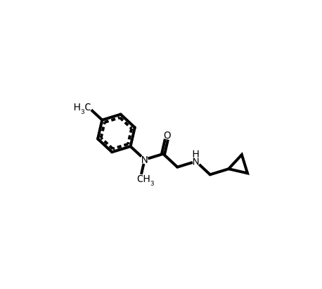 Cc1ccc(N(C)C(=O)CNCC2CC2)cc1